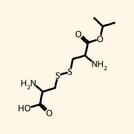 CC(C)OC(=O)C(N)CSSCC(N)C(=O)O